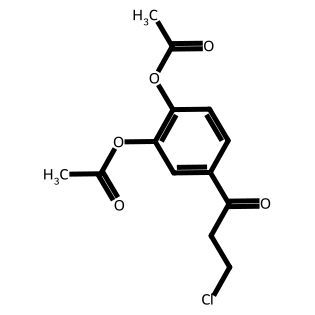 CC(=O)Oc1ccc(C(=O)CCCl)cc1OC(C)=O